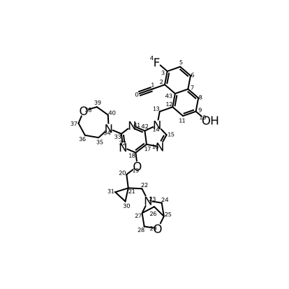 C#Cc1c(F)ccc2cc(O)cc(Cn3cnc4c(OCC5(CN6CC7CC6CO7)CC5)nc(N5CCCOCC5)nc43)c12